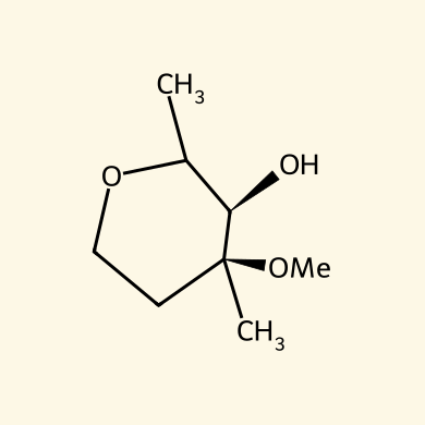 CO[C@@]1(C)CCOC(C)[C@H]1O